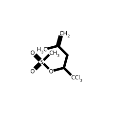 C=C(C)CC(OS(C)(=O)=O)C(Cl)(Cl)Cl